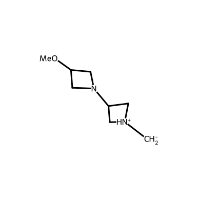 [CH2-][NH+]1CC(N2CC(OC)C2)C1